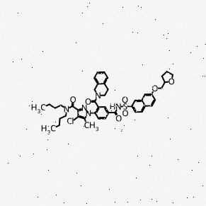 CCCCN(CCCC)C(=O)c1nn(-c2ccc(C(=O)NS(=O)(=O)c3ccc4ccc(OCC5CCCO5)cc4c3)cc2C(=O)N2CCc3ccccc3C2)c(C)c1Cl